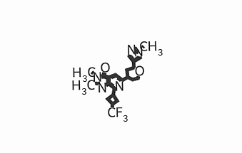 Cc1nc2c(C3CC(C(F)(F)F)C3)nc(C3CCOC(c4cnn(C)c4)C3)cc2c(=O)n1C